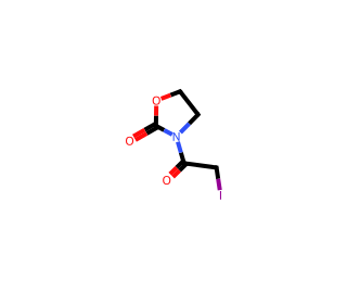 O=C(CI)N1CCOC1=O